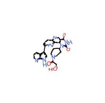 O=C(CO)N1CCC(n2c(=O)[nH]c(=O)c3cnc4ccc(-c5c[nH]c6ncccc56)nc4c32)CC1